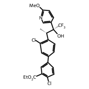 CCOC(=O)c1cc(-c2ccc([C@H](C)[C@](O)(c3ccc(OC)nc3)C(F)(F)F)c(Cl)c2)ccc1Cl